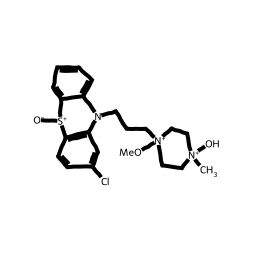 CO[N+]1(CCCN2c3ccccc3[S+]([O-])c3ccc(Cl)cc32)CC[N+](C)(O)CC1